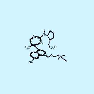 C[Si](C)(C)CCOCn1cc(-c2nc(N[C@H]3CCC[C@H]3CS(=O)(=O)O)ncc2C(F)(F)F)c2ccc(C#N)cc21